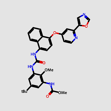 COC(=O)Nc1cc(C(C)(C)C)cc(NC(=O)Nc2ccc(Oc3ccnc(-c4cnco4)c3)c3ccccc23)c1OC